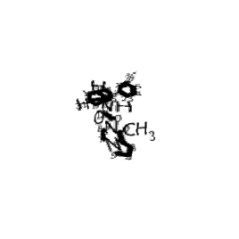 C[C@H]1C2CCCN2CCN1CC(=O)N[C@@]12C[C@H]3C[C@@H](C1)C[C@@](c1ccccc1)(C3)C2